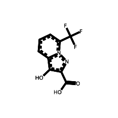 O=C(O)c1nn2c(C(F)(F)F)cccc2c1O